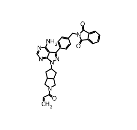 C=CC(=O)N1CC2CC(n3nc(-c4ccc(CN5C(=O)c6ccccc6C5=O)cc4)c4c(N)ncnc43)CC2C1